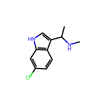 CNC(C)c1c[nH]c2cc(Cl)ccc12